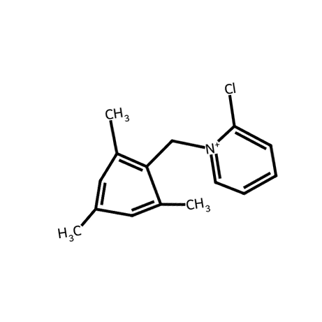 Cc1cc(C)c(C[n+]2ccccc2Cl)c(C)c1